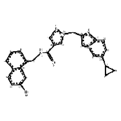 O=C(NCc1cccc2ccc(Br)cc12)c1cnn(Cc2cn3cc(C4CC4)ccc3n2)c1